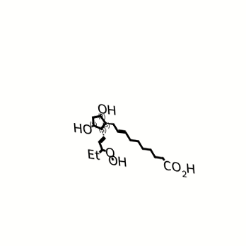 CCC(C=C[C@H]1[C@H](CC=CCCCCCCC(=O)O)[C@H](O)C[C@@H]1O)OO